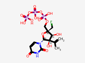 C=C(C)[C@@]1(O)[C@H](O)[C@@](CF)(COP(=O)(O)OP(=O)(O)OP(=O)(O)O)O[C@H]1n1ccc(=O)[nH]c1=O